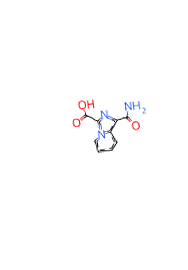 NC(=O)c1nc(C(=O)O)n2ccccc12